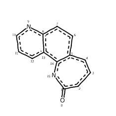 O=c1cccc2ccc3ncccc3c2n1